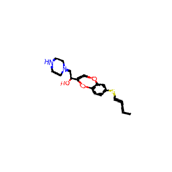 CCCCSc1ccc2c(c1)OCC(C(O)CN1CCNCC1)O2